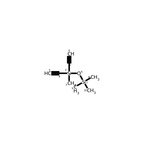 C#C[Si](C)(C#C)O[Si](C)(C)C